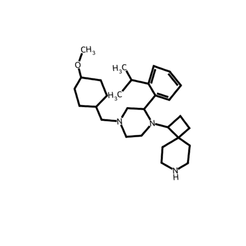 COC1CCC(CN2CCN(C3CCC34CCNCC4)C(c3ccccc3C(C)C)C2)CC1